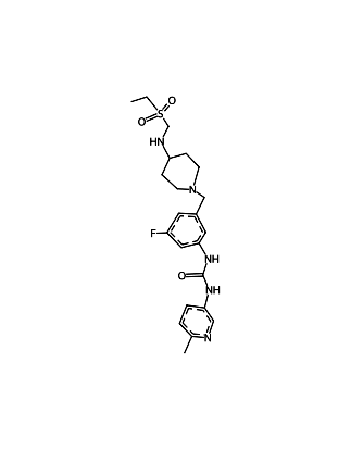 CCS(=O)(=O)CNC1CCN(Cc2cc(F)cc(NC(=O)Nc3ccc(C)nc3)c2)CC1